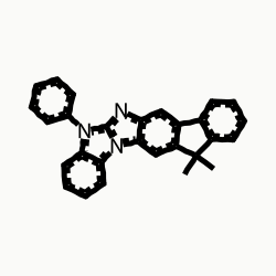 CC1(C)c2ccccc2-c2cc3nc4n(-c5ccccc5)c5ccccc5n4c3cc21